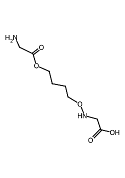 NCC(=O)OCCCCONCC(=O)O